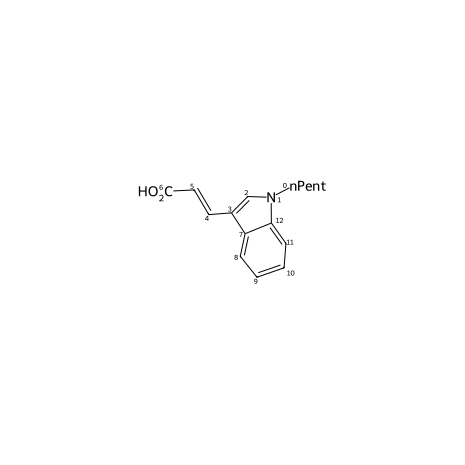 CCCCCn1cc(/C=C/C(=O)O)c2ccccc21